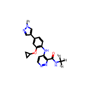 [2H]C([2H])([2H])NC(=O)c1nnccc1Nc1ccc(-c2cnn(C(C)C)c2)cc1OC1CC1